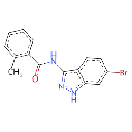 Cc1ccccc1C(=O)Nc1n[nH]c2cc(Br)ccc12